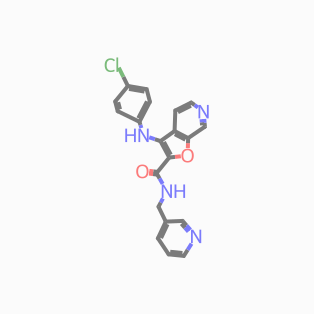 O=C(NCc1cccnc1)c1oc2cnccc2c1Nc1ccc(Cl)cc1